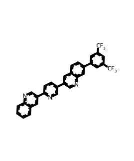 FC(F)(F)c1cc(-c2ccc3cc(-c4ccc(-c5cnc6ccccc6c5)nc4)cnc3c2)cc(C(F)(F)F)c1